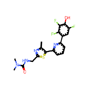 Cc1nc(CNC(=O)N(C)C)sc1-c1cccc(-c2cc(F)c(O)c(F)c2F)n1